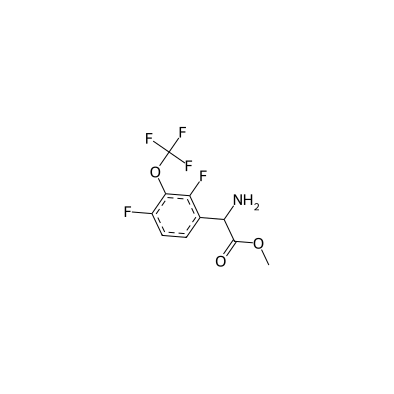 COC(=O)C(N)c1ccc(F)c(OC(F)(F)F)c1F